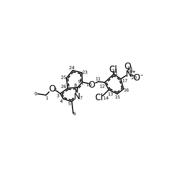 CCOc1cc(C)nc2c(OCc3c(Cl)ccc([N+](=O)[O-])c3Cl)cccc12